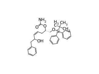 CC(C)(C)[Si](OC[C@H](C/C=C\C(O)Cc1ccccc1)OC(N)=O)(c1ccccc1)c1ccccc1